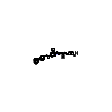 O=C(O)CCNC/C=C/c1ccc(OCc2ccc(-c3ccccc3)cc2)cc1Cl